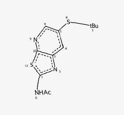 CC(=O)Nc1nc2cc(SC(C)(C)C)cnc2s1